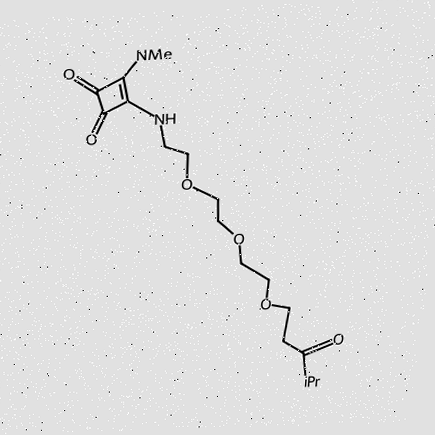 CNc1c(NCCOCCOCCOCCC(=O)C(C)C)c(=O)c1=O